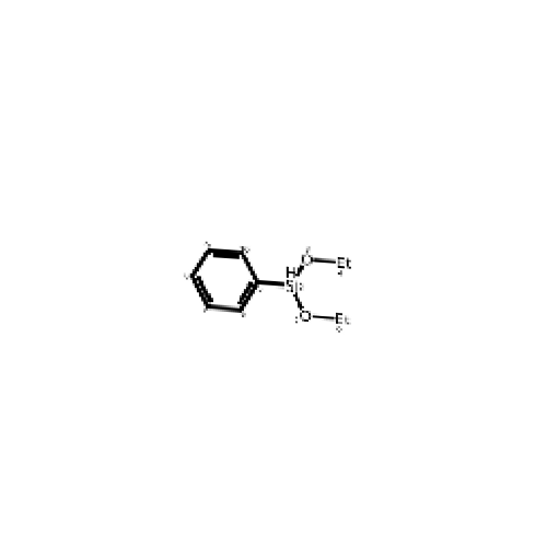 CCO[SiH](OCC)c1cc[c]cc1